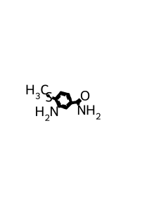 CSc1ccc(C(N)=O)cc1N